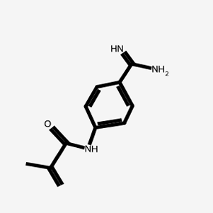 C=C(C)C(=O)Nc1ccc(C(=N)N)cc1